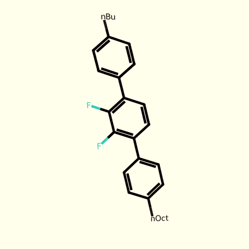 CCCCCCCCc1ccc(-c2ccc(-c3ccc(CCCC)cc3)c(F)c2F)cc1